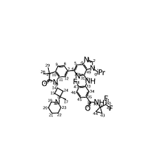 CC(C)n1cnc2cc(-c3ccc4c(c3)N([C@H]3C[C@@](C)(N5CCCCC5)C3)C(=O)C4(C)C)nc(Nc3cc(C(=O)NC4(C(F)F)CC4)ccc3F)c21